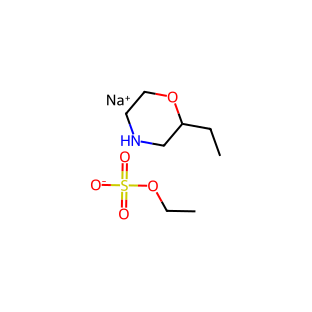 CCC1CNCCO1.CCOS(=O)(=O)[O-].[Na+]